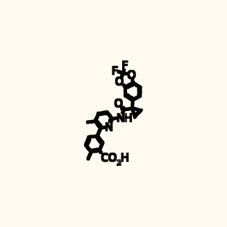 Cc1ccc(-c2nc(NC(=O)C3(c4ccc5c(c4)OC(F)(F)O5)CC3)ccc2C)cc1C(=O)O